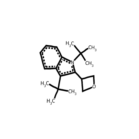 CC(C)(C)c1c(C2COC2)n(C(C)(C)C)c2ccccc12